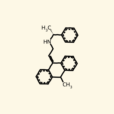 CC1c2ccccc2C(=CCN[C@H](C)c2ccccc2)c2ccccc21